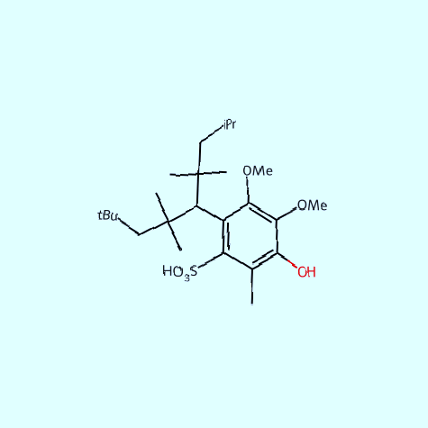 COc1c(O)c(C)c(S(=O)(=O)O)c(C(C(C)(C)CC(C)C)C(C)(C)CC(C)(C)C)c1OC